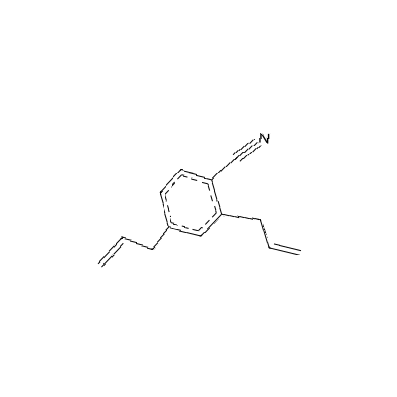 C=CCc1ccc(C#N)c(CC=C)c1